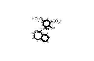 CCCCCC1=NN=CCc2ccccc21.Cc1ccc(C(=O)O)cc1C(=O)O